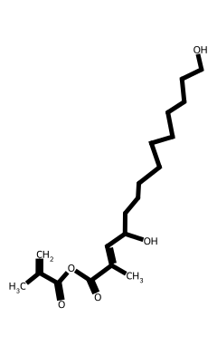 C=C(C)C(=O)OC(=O)C(C)=CC(O)CCCCCCCCCCO